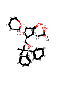 CC(C)(C)[Si](OC[C@H]1[C@H](OC2CCCCO2)CC(=O)[C@@H]1CC(=O)O)(c1ccccc1)c1ccccc1